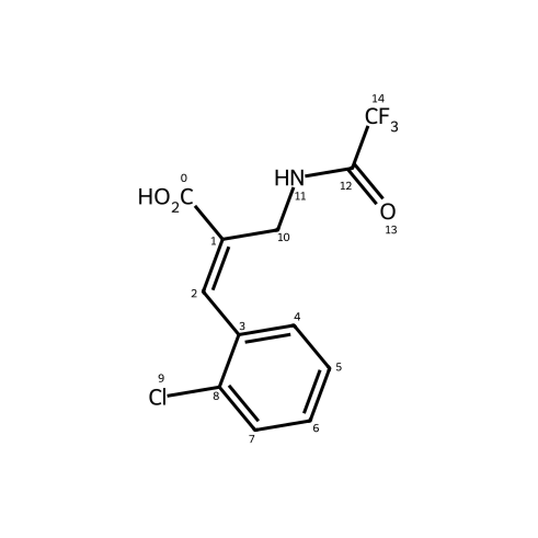 O=C(O)C(=Cc1ccccc1Cl)CNC(=O)C(F)(F)F